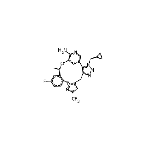 CC1Oc2cc(cnc2N)-c2c(nnn2CC2CC2)Cc2cc(C(F)(F)F)nn2-c2ccc(F)cc21